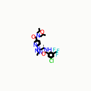 Cc1nc([C@H](C)NC(=O)c2cc(Cl)cc(C(F)(F)F)c2)n(-c2ccc(C(=O)N3CC(C)OC(C)C3)cn2)n1